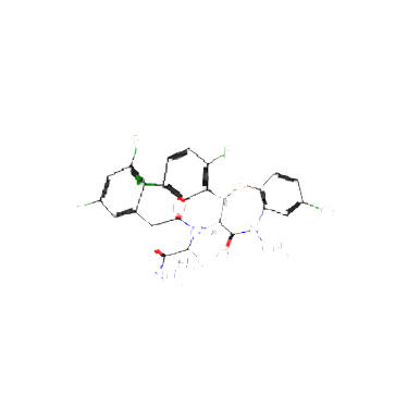 C[C@@H](C(N)=O)N(C(=O)Cc1cc(F)cc(F)c1)[C@@H]1C(=O)N(C)c2cc(Cl)ccc2S[C@@H]1c1cc(F)ccc1F